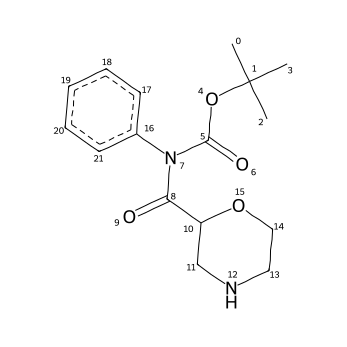 CC(C)(C)OC(=O)N(C(=O)C1CNCCO1)c1ccccc1